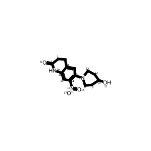 O=C1CCc2cc(N3CCC(O)CC3)c([N+](=O)[O-])cc2N1